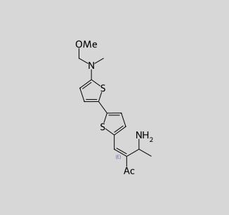 COCN(C)c1ccc(-c2ccc(/C=C(/C(C)=O)C(C)N)s2)s1